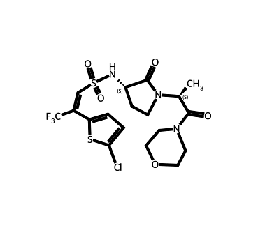 C[C@@H](C(=O)N1CCOCC1)N1CC[C@H](NS(=O)(=O)C=C(c2ccc(Cl)s2)C(F)(F)F)C1=O